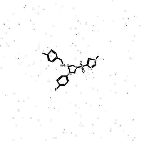 Cc1ccc(CN[C@@H]2CN(S(=O)(=O)c3cn(C)cn3)C[C@H]2c2ccc(F)cc2)cc1